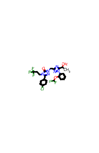 CC(O)c1nc(Cn2nc(-c3ccc(Cl)cc3)n(CCC(F)(F)F)c2=O)nn1-c1ccccc1OC(F)F